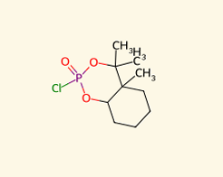 CC1(C)OP(=O)(Cl)OC2CCCCC21C